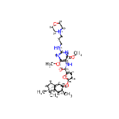 COc1nc(NCCCN2CCOCC2)nc(OC)c1NC(=O)c1ccc(Oc2cc3c(cc2C)[Si](C)(C)CC3)o1